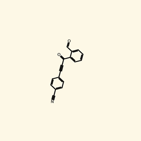 N#Cc1ccc(C#CC(=O)c2ccccc2C=O)cc1